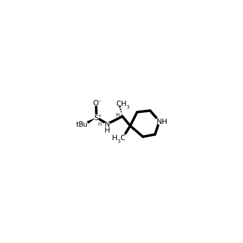 C[C@@H](N[S@+]([O-])C(C)(C)C)C1(C)CCNCC1